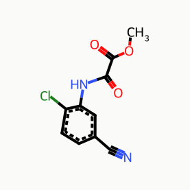 COC(=O)C(=O)Nc1cc(C#N)ccc1Cl